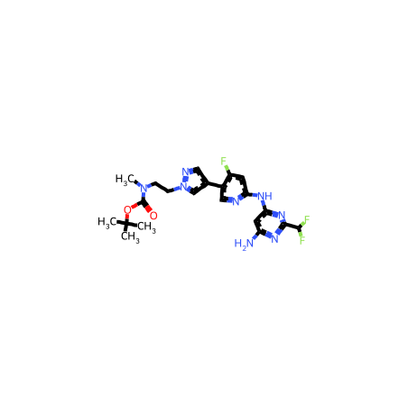 CN(CCn1cc(-c2cnc(Nc3cc(N)nc(C(F)F)n3)cc2F)cn1)C(=O)OC(C)(C)C